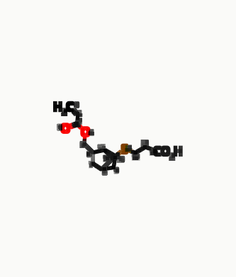 C=CC(=O)OCC1CC2CC(SCCC(=O)O)C1C2